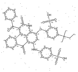 CCC(C)(C)c1ccc(Oc2cc(Nc3ccc(S(=O)(=O)O)cc3)c3c4c(c(C(=O)c5ccccc5)c(=O)[nH]c24)-c2ccccc2C3=O)c(S(=O)(=O)O)c1